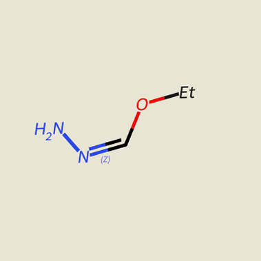 CCO/C=N\N